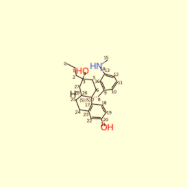 CCCC1(O)CC[C@@]2(Cc3cccc(NC)c3)c3ccc(O)cc3CC[C@H]2C1